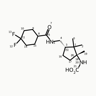 CC1(C)[C@@H](CNC(=O)C2CCC(F)(F)CC2)CC[C@@]1(C)NC(=O)O